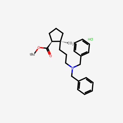 CC(C)(C)OC(=O)[C@H]1CCC[C@]1(CCCN(Cc1ccccc1)Cc1ccccc1)C(=O)O.Cl